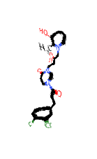 C[C@H]1[C@H](O)CCCN1CC(O)CCN1CCN(C(=O)C=Cc2ccc(Cl)c(Cl)c2)CCC1=O